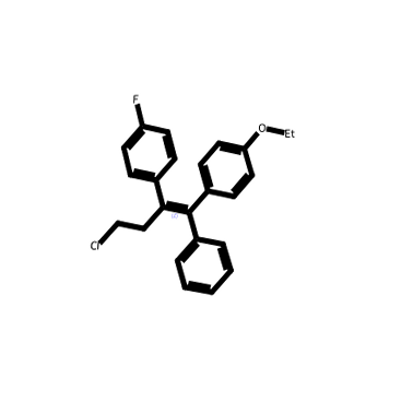 [CH2]COc1ccc(/C(=C(/CCCl)c2ccc(F)cc2)c2ccccc2)cc1